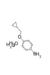 Bc1ccc(OCC2CC2)cc1.O.O